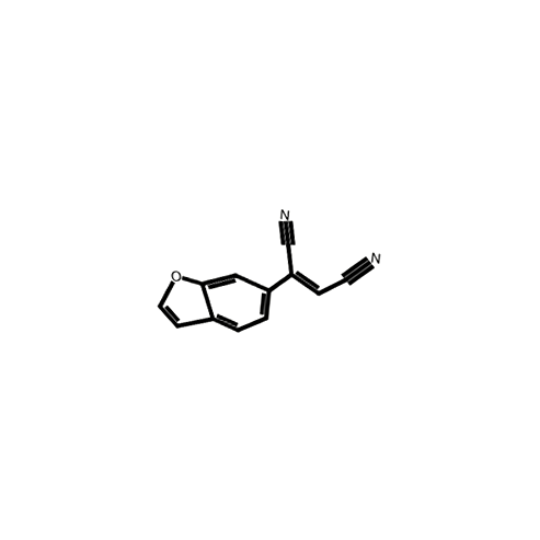 N#CC=C(C#N)c1ccc2ccoc2c1